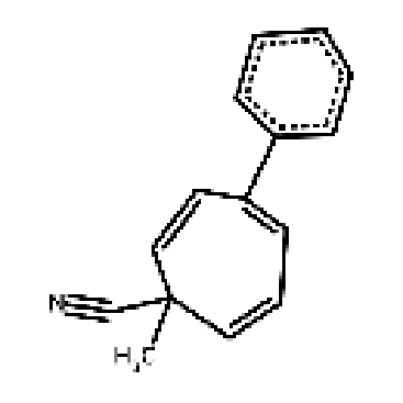 CC1(C#N)C=CC=C(c2ccccc2)C=C1